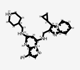 CC(C)c1cnn2c(NCc3nc4ccccn4c3C3CC3)cc(NCC3CCNCC3)nc12